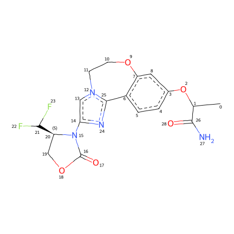 CC(Oc1ccc2c(c1)OCCn1cc(N3C(=O)OC[C@H]3C(F)F)nc1-2)C(N)=O